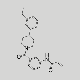 C=CC(=O)Nc1cccc(C(=O)N2CCC(c3cccc(CC)c3)CC2)c1